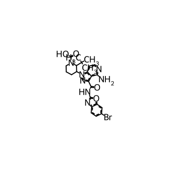 CC(C)(C)C1C(n2nc(C(=O)Nc3nc4ccc(Br)cc4o3)c3c(N)nccc32)CCCN1C(=O)O